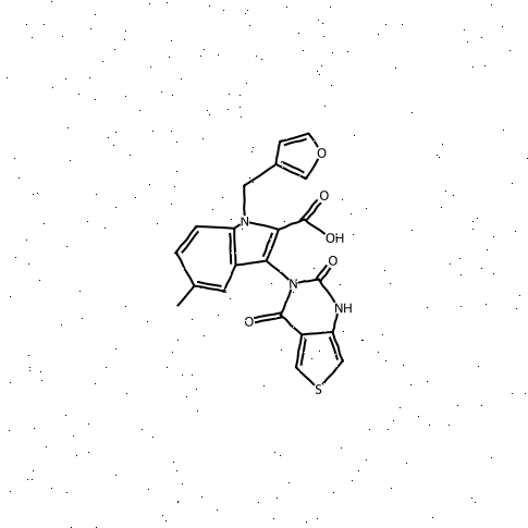 Cc1ccc2c(c1)c(-n1c(=O)[nH]c3cscc3c1=O)c(C(=O)O)n2Cc1ccoc1